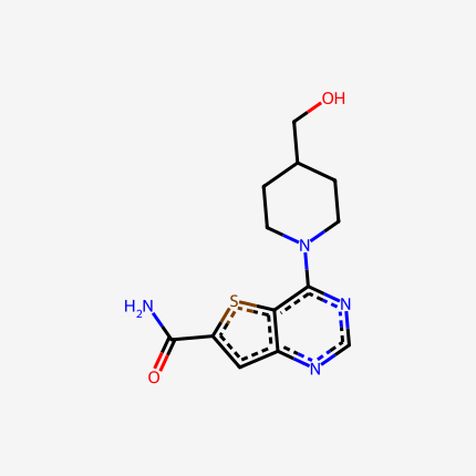 NC(=O)c1cc2ncnc(N3CCC(CO)CC3)c2s1